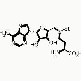 CC[S+](CC[C@H](N)C(=O)O)C[C@H]1O[C@@H](n2cnc3c(N)ncnc32)C(O)C1O